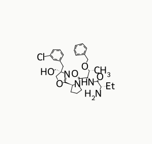 CC[C@H](N)C(=O)N[C@H](C(=O)N1CCC[C@H]1C1=N[C@](CO)(Cc2cccc(Cl)c2)CO1)[C@@H](C)OCc1ccccc1